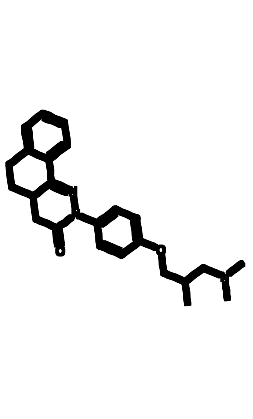 CC(COc1ccc(N2N=C3c4ccccc4CCC3CC2=O)cc1)CN(C)C